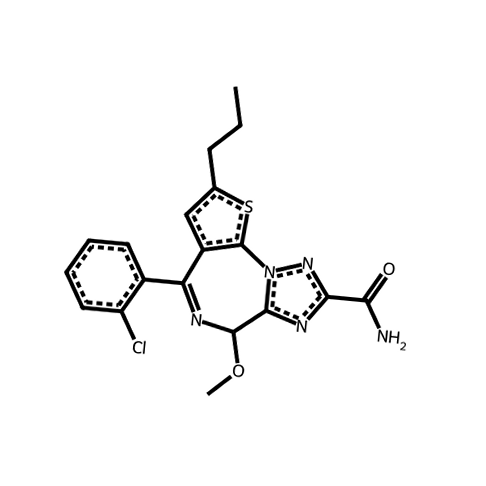 CCCc1cc2c(s1)-n1nc(C(N)=O)nc1C(OC)N=C2c1ccccc1Cl